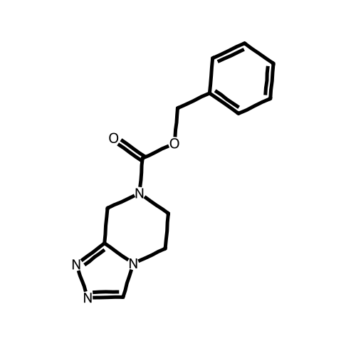 O=C(OCc1ccccc1)N1CCn2cnnc2C1